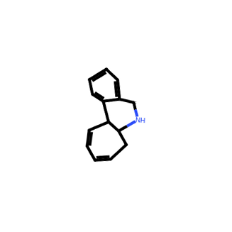 [C]1NC2CC=CC=CC2c2ccccc21